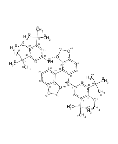 COc1c(C(C)(C)C)cc(Pc2ccc3c(c2-c2c(Pc4cc(C(C)(C)C)c(OC)c(C(C)(C)C)c4)ccc4c2OCO4)OCO3)cc1C(C)(C)C